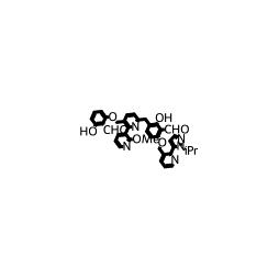 COc1ncccc1-c1nc(Cc2ccc(OCc3cccnc3-c3ccnn3C(C)C)c(C=O)c2O)ccc1COc1cccc(O)c1C=O